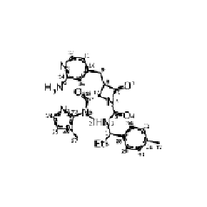 CCC(NC(=O)N1C(=O)[C@H](Cc2ccnc(N)c2)[C@H]1C(=O)N(C)c1nccn1C)c1ccc(C)cc1